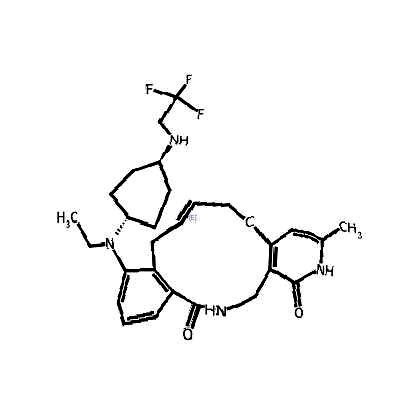 CCN(c1cccc2c1C/C=C/CCc1cc(C)[nH]c(=O)c1CNC2=O)[C@H]1CC[C@H](NCC(F)(F)F)CC1